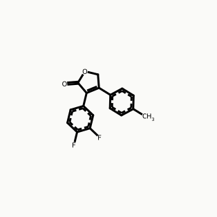 Cc1ccc(C2=C(c3ccc(F)c(F)c3)C(=O)OC2)cc1